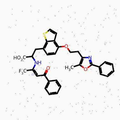 Cc1oc(-c2ccccc2)nc1CCOc1ccc(CC(N/C(=C\C(=O)c2ccccc2)C(F)(F)F)C(=O)O)c2sccc12